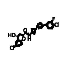 O=C(NC12CC(n3ccc(-c4ccc(Cl)c(F)c4)c3)(C1)C2)[C@H]1C[C@@H](O)c2cc(Cl)ccc2O1